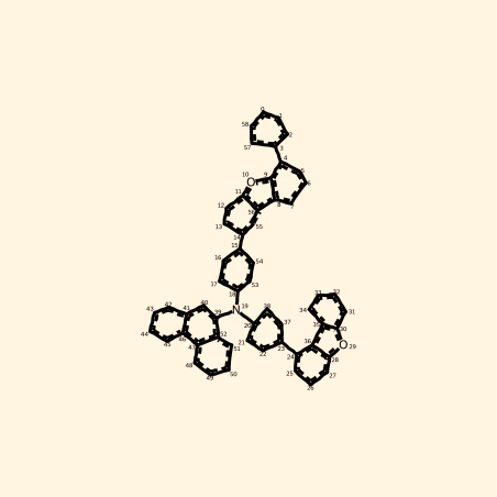 c1ccc(-c2cccc3c2oc2ccc(-c4ccc(N(c5ccc(-c6cccc7oc8ccccc8c67)cc5)c5cc6ccccc6c6ccccc56)cc4)cc23)cc1